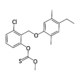 CCc1cc(C)c(OCc2c(Cl)cccc2OC(=S)OC)cc1C